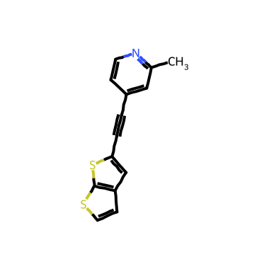 Cc1cc(C#Cc2cc3ccsc3s2)ccn1